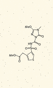 COC(=O)Cc1cscc1S(=O)(=O)NC(=O)n1nc(OC)n(C)c1=O